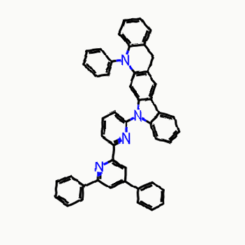 c1ccc(-c2cc(-c3ccccc3)nc(-c3cccc(-n4c5ccccc5c5cc6c(cc54)N(c4ccccc4)c4ccccc4C6)n3)c2)cc1